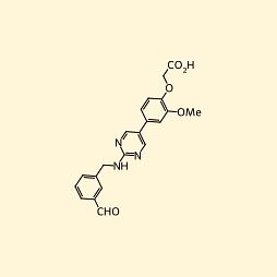 COc1cc(-c2cnc(NCc3cccc(C=O)c3)nc2)ccc1OCC(=O)O